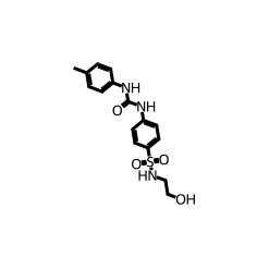 Cc1ccc(NC(=O)Nc2ccc(S(=O)(=O)NCCO)cc2)cc1